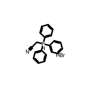 Br.N#CC[PH](c1ccccc1)(c1ccccc1)c1ccccc1